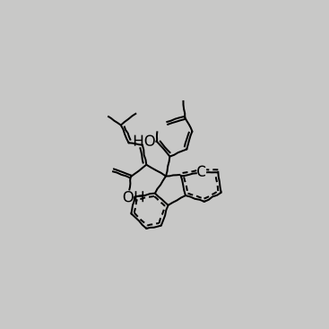 C=C(C)/C=C\C(=C(/C)O)C1(/C(=C/C=C(C)C)C(=C)O)c2ccccc2-c2ccccc21